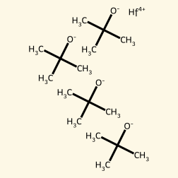 CC(C)(C)[O-].CC(C)(C)[O-].CC(C)(C)[O-].CC(C)(C)[O-].[Hf+4]